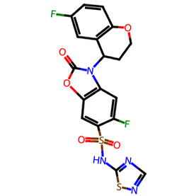 O=c1oc2cc(S(=O)(=O)Nc3ncns3)c(F)cc2n1C1CCOc2ccc(F)cc21